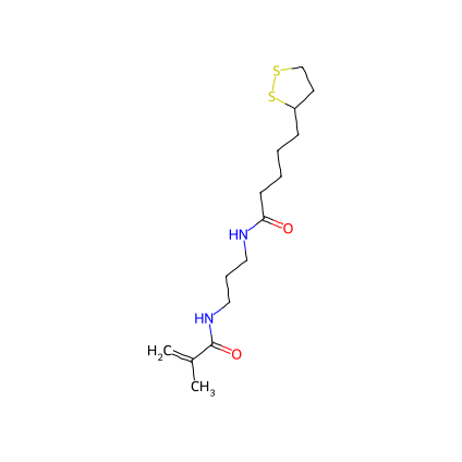 C=C(C)C(=O)NCCCNC(=O)CCCCC1CCSS1